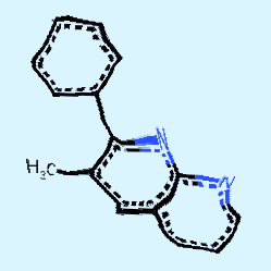 Cc1cc2cccnc2nc1-c1cc[c]cc1